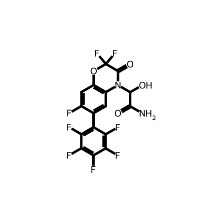 NC(=O)C(O)N1C(=O)C(F)(F)Oc2cc(F)c(-c3c(F)c(F)c(F)c(F)c3F)cc21